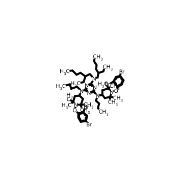 CCCCC(CC)CN(CC(CC)CCCC)c1nc(N(CCCC)C2CC(C)(C)N(Oc3ccc(Br)cc3Br)C(C)(C)C2)nc(N(CCCC)C2CC(C)(C)N(Oc3ccc(Br)cc3Br)C(C)(C)C2)n1